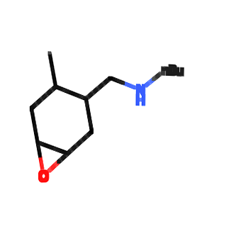 CCCCNCC1CC2OC2CC1C